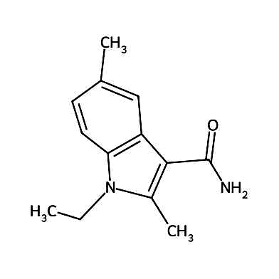 CCn1c(C)c(C(N)=O)c2cc(C)ccc21